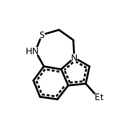 CCc1cn2c3c(cccc13)NSCC2